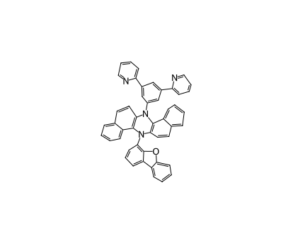 c1ccc(-c2cc(-c3ccccn3)cc(N3c4ccc5ccccc5c4N(c4cccc5c4oc4ccccc45)c4ccc5ccccc5c43)c2)nc1